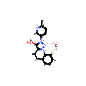 Cc1ccc(-n2n[n+]3c(c2O)CCc2cccc(F)c2-3)cn1.[OH-]